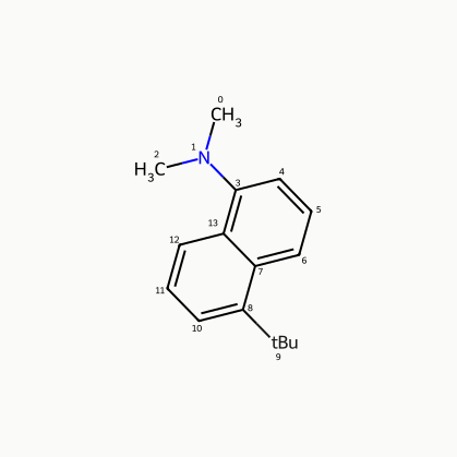 CN(C)c1cccc2c(C(C)(C)C)cccc12